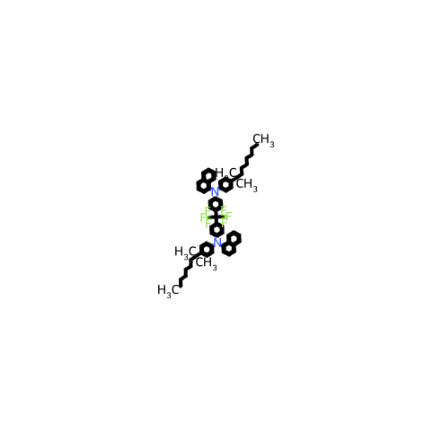 CCCCCCCCC(C)(C)c1ccc(N(c2ccc(C(c3ccc(N(c4ccc(C(C)(C)CCCCCCC)cc4)c4cccc5ccccc45)cc3)(C(F)(F)F)C(F)(F)F)cc2)c2cccc3ccccc23)cc1